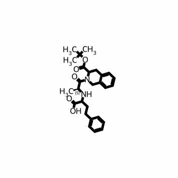 C[C@H](NC(CCc1ccccc1)C(=O)O)C(=O)N1Cc2ccccc2CC1C(=O)OC(C)(C)C